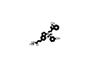 Cn1cc(CCN(C2CCc3cc(C=CC(=O)NO)ccc32)S(=O)(=O)c2cccc(O)c2)c2ccccc21